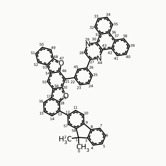 CC1(C)c2ccccc2-c2ccc(-c3cccc4c3oc3c(-c5cccc(-c6cnc7c8ccccc8c8ccccc8c7n6)c5)c5oc6ccccc6c5cc34)cc21